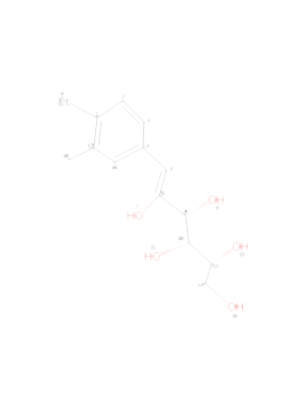 CCc1ccc(C=C(O)[C@H](O)[C@@H](O)[C@H](O)CO)cc1C